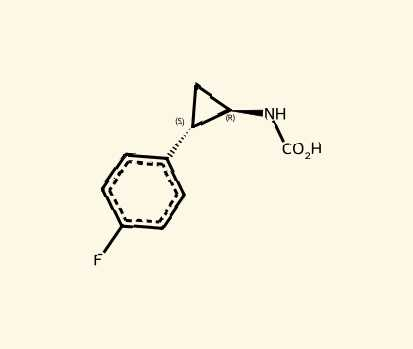 O=C(O)N[C@@H]1C[C@H]1c1ccc(F)cc1